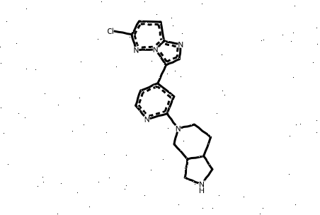 Clc1ccc2ncc(-c3ccnc(N4CCC5CNCC5C4)c3)n2n1